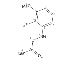 COc1cccc(NOC(=O)C(C)(C)C)c1F